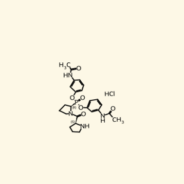 CC(=O)Nc1cccc(OP(=O)(Oc2cccc(NC(C)=O)c2)[C@@H]2CCCN2C(=O)[C@@H]2CCCN2)c1.Cl